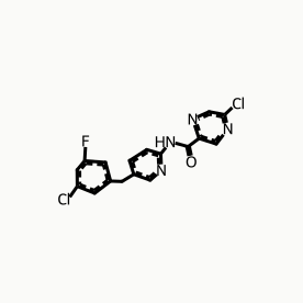 O=C(Nc1ccc(Cc2cc(F)cc(Cl)c2)cn1)c1cnc(Cl)cn1